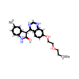 COCCOCCOc1ccc2c(C3C(=O)Nc4ccc(C#N)cc43)ncnc2c1